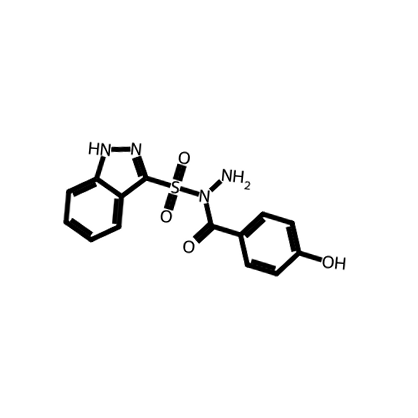 NN(C(=O)c1ccc(O)cc1)S(=O)(=O)c1n[nH]c2ccccc12